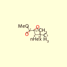 CCCCCCC(C)(C)CC(=O)C(=O)OC